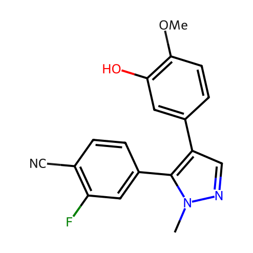 COc1ccc(-c2cnn(C)c2-c2ccc(C#N)c(F)c2)cc1O